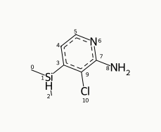 C[SiH](C)c1ccnc(N)c1Cl